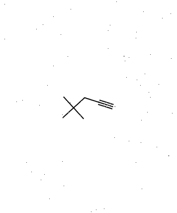 [C]#CCC(C)(C)C